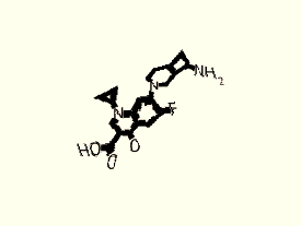 NC1CC2CCN(c3cc4c(cc3F)c(=O)c(C(=O)O)cn4C3CC3)CC12